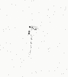 CC(C)(COP(=O)(O)OP(=O)(O)OCC1OC(C)(n2cnc3c(N)ncnc32)C(O)C1OP(=O)(O)O)C(O)C(=O)NCCC(=O)NCCSC(=O)C=CCOC1CCCCC1